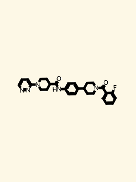 O=C(Nc1ccc(C2CCN(C(=O)c3ccccc3F)CC2)cc1)C1CCN(c2cccnn2)CC1